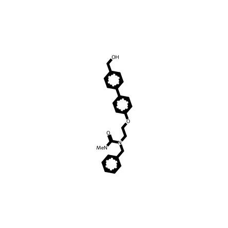 CNC(=O)N(CCOc1ccc(-c2ccc(CO)cc2)cc1)Cc1ccccc1